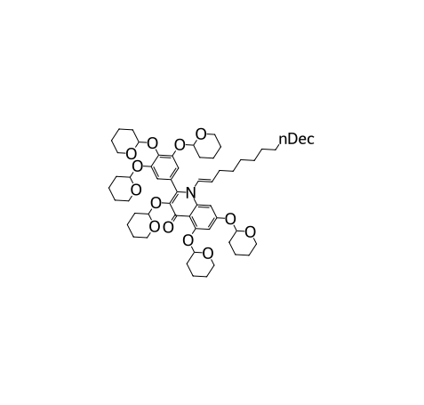 CCCCCCCCCCCCCCCCC=Cn1c(-c2cc(OC3CCCCO3)c(OC3CCCCO3)c(OC3CCCCO3)c2)c(OC2CCCCO2)c(=O)c2c(OC3CCCCO3)cc(OC3CCCCO3)cc21